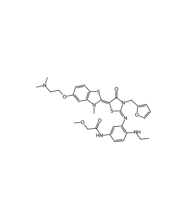 CCNc1ccc(NC(=O)COC)cc1N=C1SC(=C2Sc3ccc(OCCN(C)C)cc3N2C)C(=O)N1Cc1ccco1